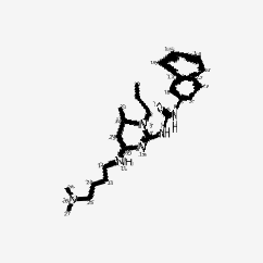 CCCN1C(NC(=O)Nc2ccc3ccccc3c2)=NC(NCCCCN(C)C)CC1C